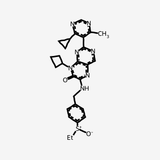 CC[S+]([O-])c1ccc(CNc2nc3cnc(-c4c(C)ncnc4C4CC4)nc3n(C3CCC3)c2=O)cc1